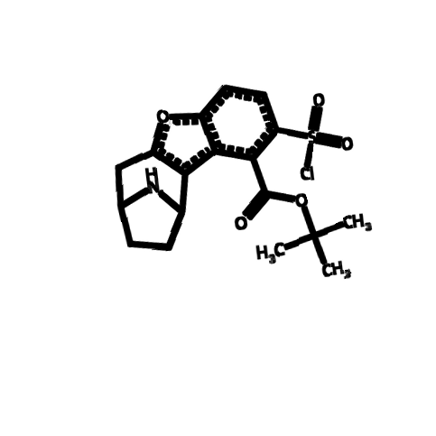 CC(C)(C)OC(=O)c1c(S(=O)(=O)Cl)ccc2oc3c(c12)C1CCC(C3)N1